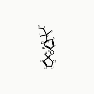 CCC(C)(C)c1ccc(OC2(C)C=CCC2)cc1